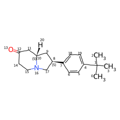 CC(C)(C)c1ccc([C@@H]2C[C@H]3CC(=O)CCN3C2)cc1